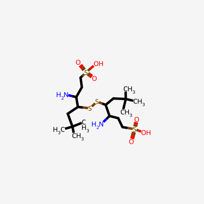 CC(C)(C)CC(SSC(CC(C)(C)C)C(N)CCS(=O)(=O)O)C(N)CCS(=O)(=O)O